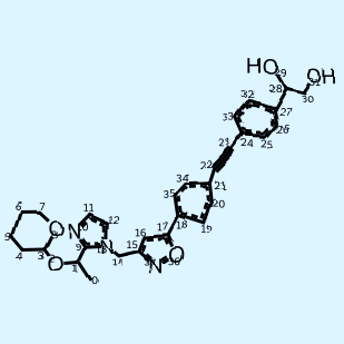 CC(OC1CCCCO1)c1nccn1Cc1cc(-c2ccc(C#Cc3ccc(C(O)CO)cc3)cc2)on1